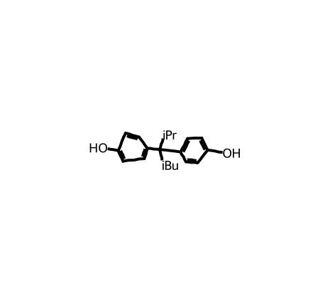 CCC(C)C(c1ccc(O)cc1)(c1ccc(O)cc1)C(C)C